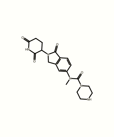 CN(C(=O)N1CCNCC1)c1ccc2c(c1)CN(C1CCC(=O)NC1=O)C2=O